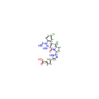 N=CN(N=N)c1ccc(Cl)cc1-c1cc(=O)n2c(c1Cl)CCC2c1ncc(-c2ccc(C(=O)O)s2)[nH]1